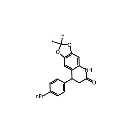 CCCc1ccc(C2CC(=O)Nc3cc4c(cc32)OC(F)(F)O4)cc1